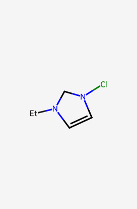 CCN1C=CN(Cl)C1